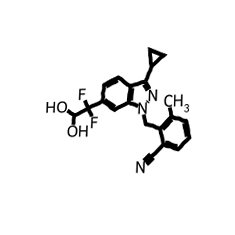 Cc1cccc(C#N)c1Cn1nc(C2CC2)c2ccc(C(F)(F)C(O)O)cc21